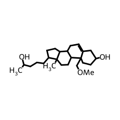 COCC12CCC(O)CC1=CCC1C2CCC2(C)C(CCCC(C)O)CCC12